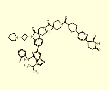 CC(C)n1cnc2cc(-c3ccc4c(c3)N([C@H]3C[C@@H](N5CCCCC5)C3)C(=O)C43CCN(C(=O)C4(C)CCN(C(=O)C5CCN(c6ccc(C7CCC(=O)NC7=O)nc6)CC5)CC4)CC3)nc(Nc3ccccc3F)c21